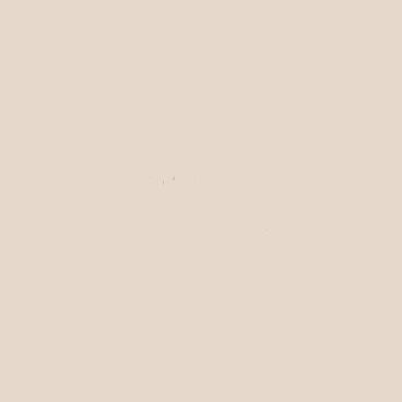 [Cl-].[Cl-].[Cl-].[Cl-].[SnH2+2].[SnH2+2]